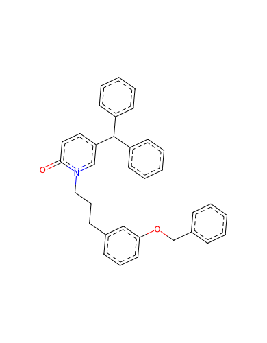 O=c1ccc(C(c2ccccc2)c2ccccc2)cn1CCCc1cccc(OCc2ccccc2)c1